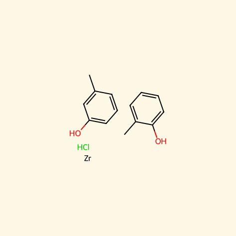 Cc1cccc(O)c1.Cc1ccccc1O.Cl.[Zr]